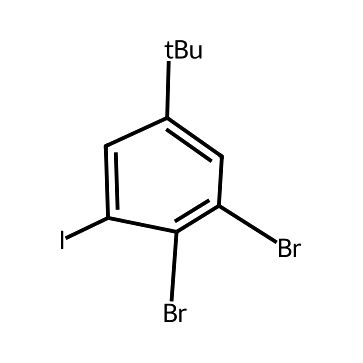 CC(C)(C)c1cc(Br)c(Br)c(I)c1